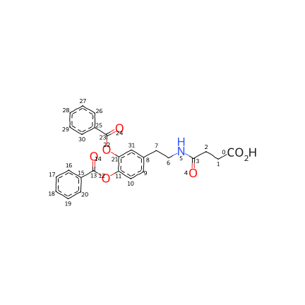 O=C(O)CCC(=O)NCCc1ccc(OC(=O)c2ccccc2)c(OC(=O)c2ccccc2)c1